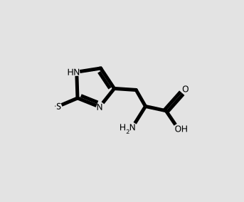 NC(Cc1c[nH]c([S])n1)C(=O)O